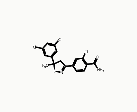 NC(=O)c1ccc(C2=NSC(c3cc(Cl)cc(Cl)c3)(C(F)(F)F)C2)cc1Cl